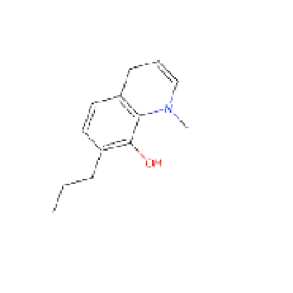 CCCc1ccc2c(c1O)N(C)C=CC2